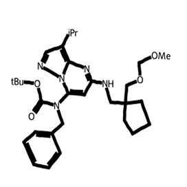 COCOCC1(CNc2cc(N(Cc3ccccc3)C(=O)OC(C)(C)C)n3ncc(C(C)C)c3n2)CCCC1